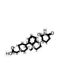 CN1CCN([C@H]2CCC(=O)NC2=O)c2cccc(C3CCN(CC(=O)O)CC3)c21